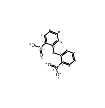 O=[N+]([O-])c1ccccc1Cc1ccccc1[N+](=O)[O-]